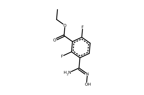 CCOC(=O)c1c(F)ccc(/C(N)=N/O)c1F